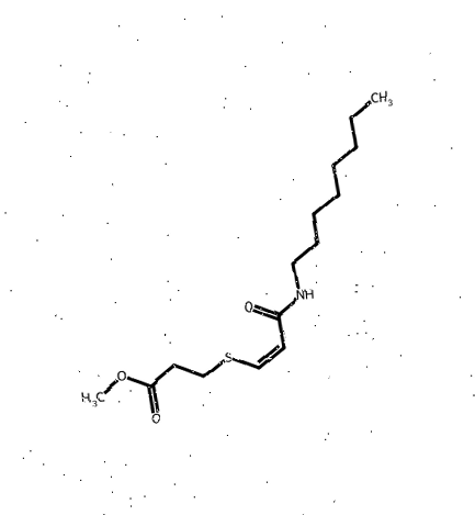 CCCCCCCCNC(=O)/C=C\SCCC(=O)OC